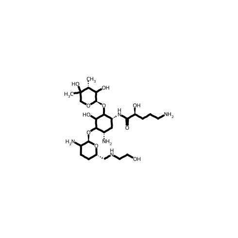 C[C@@H]1C(O)[C@@H](OC2C(O)C(O[C@H]3O[C@H](CNCCO)CCC3N)[C@@H](N)C[C@H]2NC(=O)[C@@H](O)CCCN)OCC1(C)O